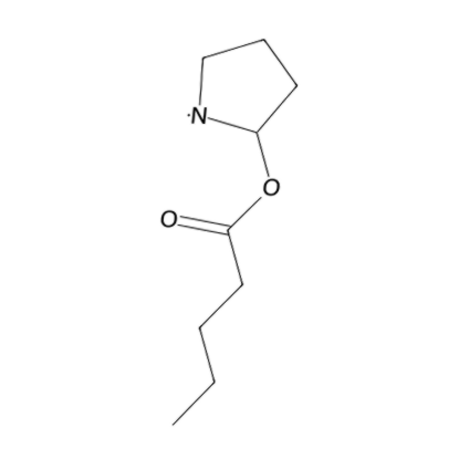 CCCCC(=O)OC1CCC[N]1